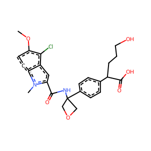 COc1ccc2c(cc(C(=O)NC3(c4ccc(C(CCCO)C(=O)O)cc4)COC3)n2C)c1Cl